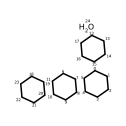 C1CCCCC1.C1CCCCC1.C1CCCCC1.C1CCCCC1.O